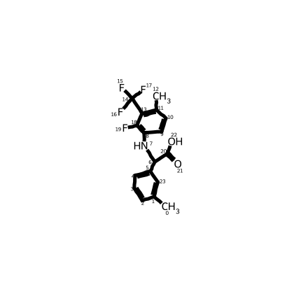 Cc1cccc(C(Nc2ccc(C)c(C(F)(F)F)c2F)C(=O)O)c1